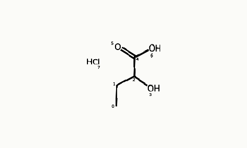 CCC(O)C(=O)O.Cl